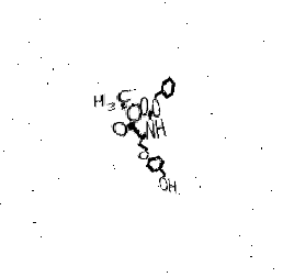 CCOC(=O)[C@H](CCOc1ccc(CO)cc1)NC(=O)OCc1ccccc1